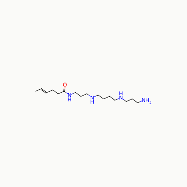 C/C=C/CCC(=O)NCCCNCCCCNCCCN